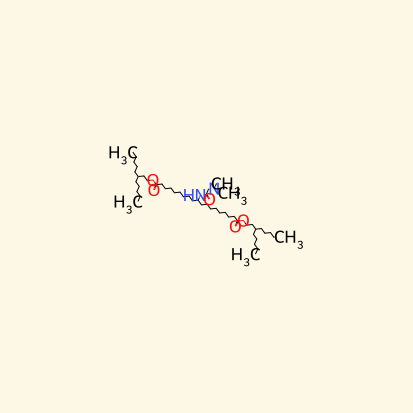 CCCCCC(CCCCC)CCOC(=O)CCCCCCCCC(CCCCCCCCC(=O)OCCC(CCCCC)CCCCC)NC(=O)CN(C)CC